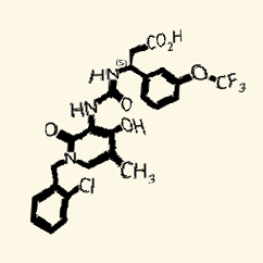 Cc1cn(Cc2ccccc2Cl)c(=O)c(NC(=O)N[C@@H](CC(=O)O)c2cccc(OC(F)(F)F)c2)c1O